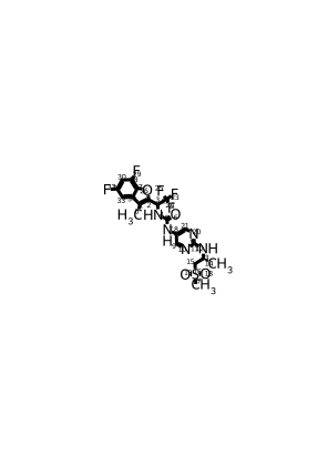 Cc1c(C(NC(=O)Nc2cnc(N[C@@H](C)CS(C)(=O)=O)nc2)C(F)(F)F)oc2c(F)cc(F)cc12